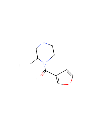 O=C(O)C1CNCCN1C(=O)c1ccoc1